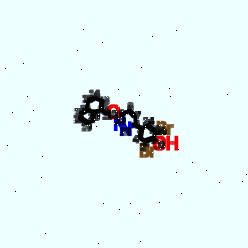 Oc1c(Br)cc(-c2ccc(OCc3cccc4ccccc34)nn2)cc1Br